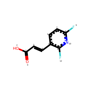 O=C(O)C=Cc1ccc(F)nc1F